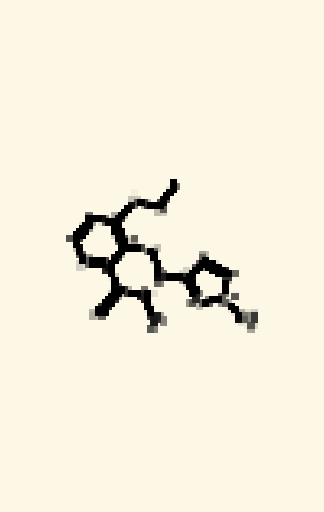 CC(C)OC(=O)c1cccc(OCF)c1COc1ccn(O)n1